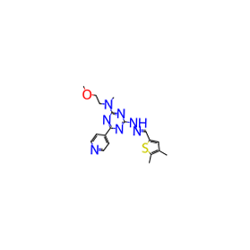 COCCN(C)c1nc(NN=Cc2cc(C)c(C)s2)nc(-c2ccncc2)n1